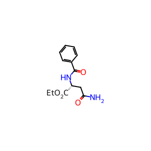 CCOC(=O)[C@@H](CC(N)=O)NC(=O)c1ccccc1